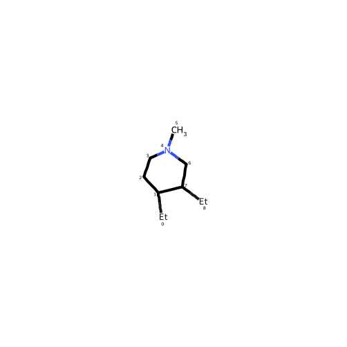 CCC1CCN(C)CC1CC